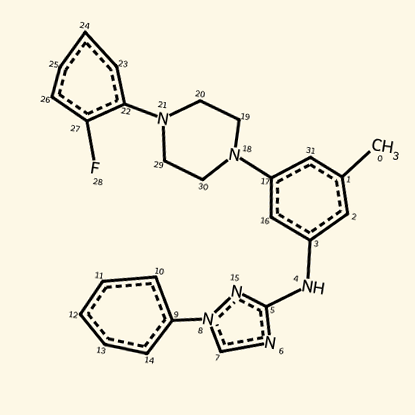 Cc1cc(Nc2ncn(-c3ccccc3)n2)cc(N2CCN(c3ccccc3F)CC2)c1